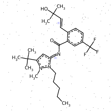 CCCCCn1/c(=N/C(=O)c2cc(C(F)(F)F)ccc2/C=C/C(C)(C)O)cc(C(C)(C)C)n1C